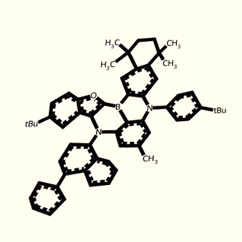 Cc1cc2c3c(c1)N(c1ccc(-c4ccccc4)c4ccccc14)c1c(oc4ccc(C(C)(C)C)cc14)B3c1cc3c(cc1N2c1ccc(C(C)(C)C)cc1)C(C)(C)CCC3(C)C